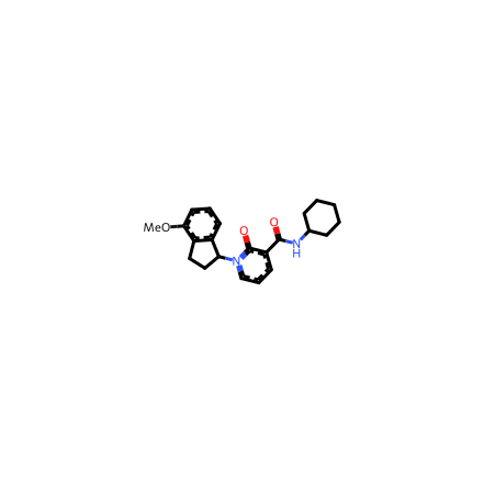 COc1cccc2c1CCC2n1cccc(C(=O)NC2CCCCC2)c1=O